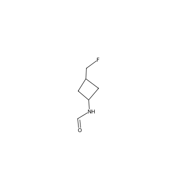 O=CNC1CC(CF)C1